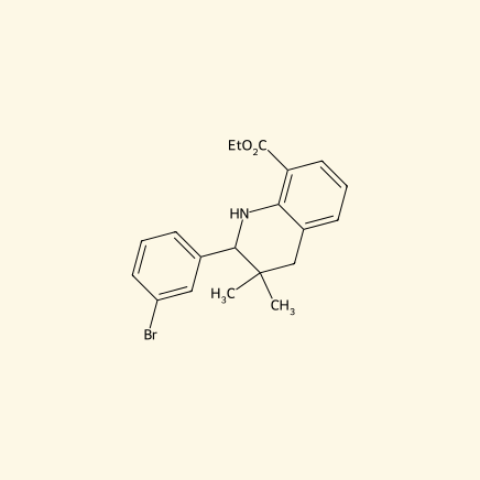 CCOC(=O)c1cccc2c1NC(c1cccc(Br)c1)C(C)(C)C2